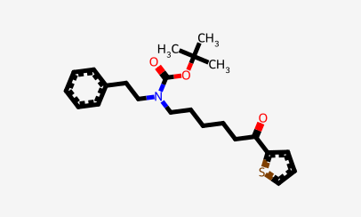 CC(C)(C)OC(=O)N(CCCCCC(=O)c1cccs1)CCc1ccccc1